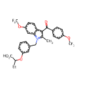 CCC(Oc1cccc(Cn2c(C)c(C(=O)c3ccc(OC(F)(F)F)cc3)c3ccc(OC(F)(F)F)cc32)c1)C(=O)O